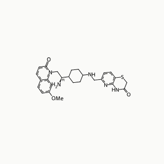 COc1ccc2ccc(=O)n(C[C@H](N)C3CCC(NCc4ccc5c(n4)NC(=O)CS5)CC3)c2c1